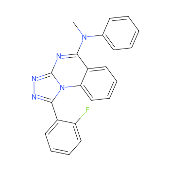 CN(c1ccccc1)c1nc2nnc(-c3ccccc3F)n2c2ccccc12